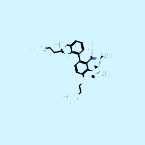 NCCSc1ccc(-c2cccc3[nH]c(CCN)nc23)c(/C(N)=N/N)c1S(N)(=O)=O